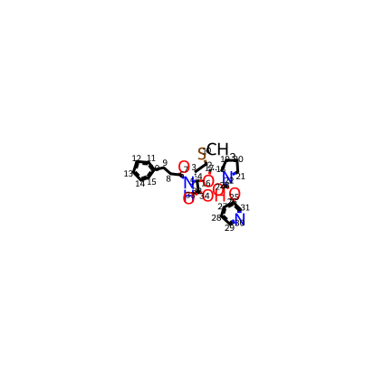 CSCC[C@](NC(=O)CCc1ccccc1)(OC[C@@H]1CCCN1C(=O)Oc1cccnc1)C(=O)O